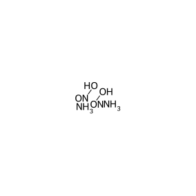 N.N.O=NO.O=NO